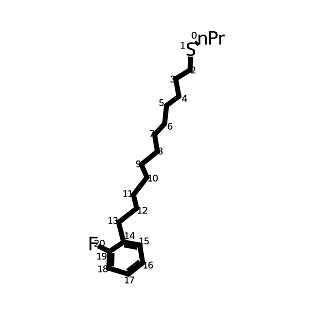 CCCSCCCCCCCCCCCCc1ccccc1F